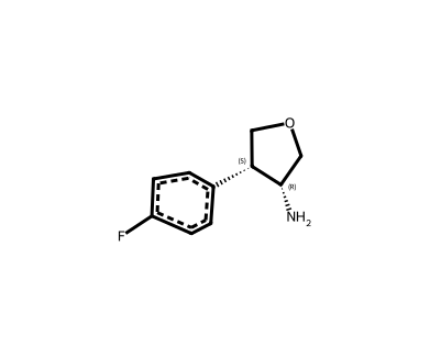 N[C@H]1COC[C@H]1c1ccc(F)cc1